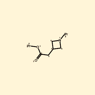 CC(C)OC(=O)CC1CN(C(C)C)C1